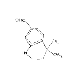 CC1(C)CCNc2cc(C=O)ccc21